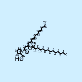 CCCCCCCCCCCCCC(=O)OC(CCCCCCCCCCC)CC(=O)N1CCCC1CO